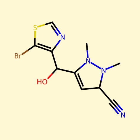 CN1C(C(O)c2ncsc2Br)=CC(C#N)N1C